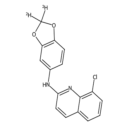 [2H]C1([2H])Oc2ccc(Nc3ccc4cccc(Cl)c4n3)cc2O1